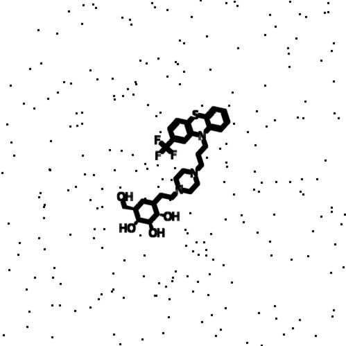 OC[C@H]1CC(CCN2CCN(CCCN3c4ccccc4Sc4ccc(C(F)(F)F)cc43)CC2)[C@H](O)[C@@H](O)[C@@H]1O